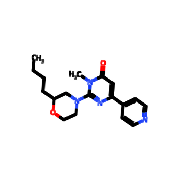 CCCCC1CN(c2nc(-c3ccncc3)cc(=O)n2C)CCO1